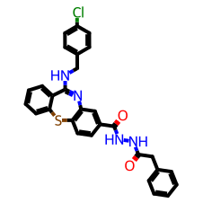 O=C(Cc1ccccc1)NNC(=O)c1ccc2c(c1)N=C(NCc1ccc(Cl)cc1)c1ccccc1S2